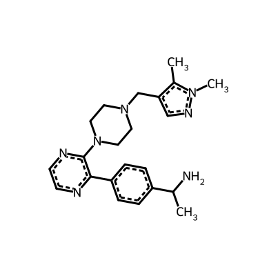 Cc1c(CN2CCN(c3nccnc3-c3ccc(C(C)N)cc3)CC2)cnn1C